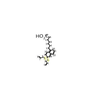 C=CCSC1(SCC=C)C=CC2=C(CCCCCCC(=O)O)CC=CC2=C1